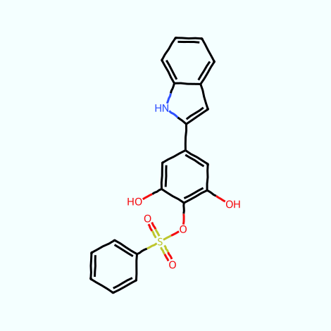 O=S(=O)(Oc1c(O)cc(-c2cc3ccccc3[nH]2)cc1O)c1ccccc1